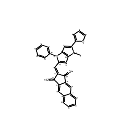 Cn1c(-c2ccco2)cc2c1nc(C=C1C(=O)c3cc4ccccc4cc3C1=O)n2-c1ccccc1